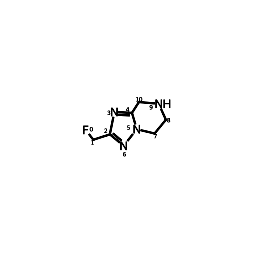 FCc1nc2n(n1)CCNC2